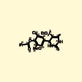 CCOC(=O)C1=C(C)NC(=S)NC1c1cc(Cl)c(OC(=O)C(C)C)c(OC)c1